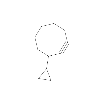 C1#CC(C2CC2)CCCCC1